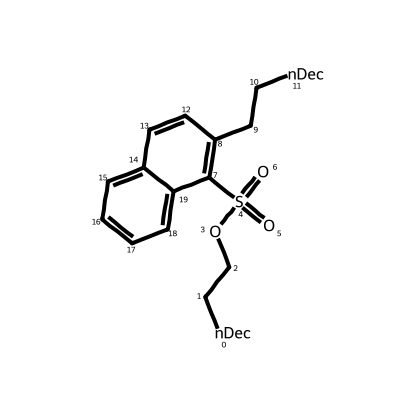 CCCCCCCCCCCCOS(=O)(=O)c1c(CCCCCCCCCCCC)ccc2ccccc12